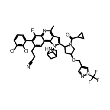 Cc1nc2c(F)c(-c3cccc(Cl)c3Cl)c(CCC#N)cc2c2c1cc(C1CC(OCc3cnn(C(F)(F)F)c3)CN1C(=O)C1CC1)n2C1C2CNC1C2